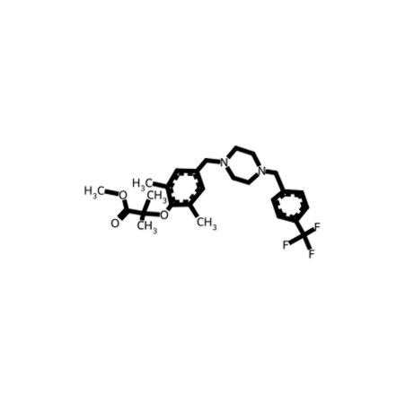 COC(=O)C(C)(C)Oc1c(C)cc(CN2CCN(Cc3ccc(C(F)(F)F)cc3)CC2)cc1C